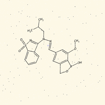 COc1cc(/C=N/N(CC(C)C)C2=NS(=O)(=O)c3ccccc32)cc2c1B(O)OC2